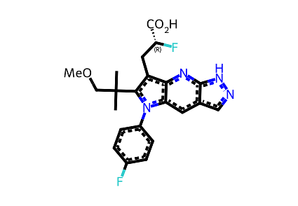 COCC(C)(C)c1c(C[C@@H](F)C(=O)O)c2nc3[nH]ncc3cc2n1-c1ccc(F)cc1